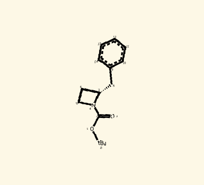 CC(C)(C)OC(=O)N1CC[C@@H]1Cc1ccccc1